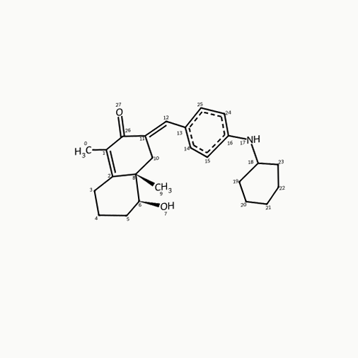 CC1=C2CCC[C@H](O)[C@@]2(C)C/C(=C\c2ccc(NC3CCCCC3)cc2)C1=O